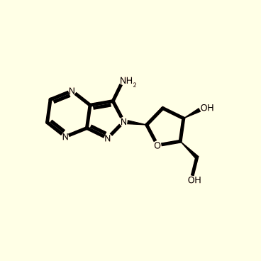 Nc1c2nccnc2nn1[C@H]1C[C@@H](O)[C@@H](CO)O1